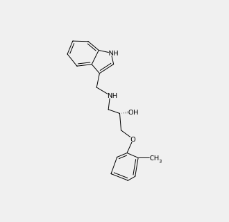 Cc1ccccc1OC[C@@H](O)CNCc1c[nH]c2ccccc12